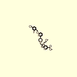 COCCn1c(CN2CCC(c3cccc(OCc4ccc(Cl)cc4F)n3)CC2)nc2ncc(C(=O)OC)cc21